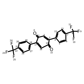 O=C1C=C(c2ccc(C(F)(F)F)cc2)C(=O)C=C1c1ccc(C(F)(F)F)cc1